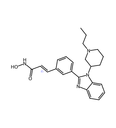 CCCN1CCCC(n2c(-c3cccc(/C=C/C(=O)NO)c3)nc3ccccc32)C1